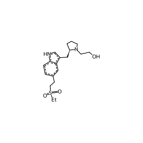 CCS(=O)(=O)CCc1ccc2[nH]cc(C[C@H]3CCCN3CCO)c2c1